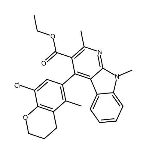 CCOC(=O)c1c(C)nc2c(c1-c1cc(Cl)c3c(c1C)CCCO3)c1ccccc1n2C